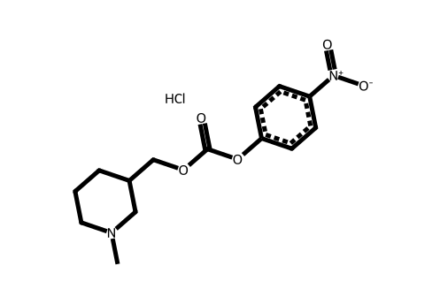 CN1CCCC(COC(=O)Oc2ccc([N+](=O)[O-])cc2)C1.Cl